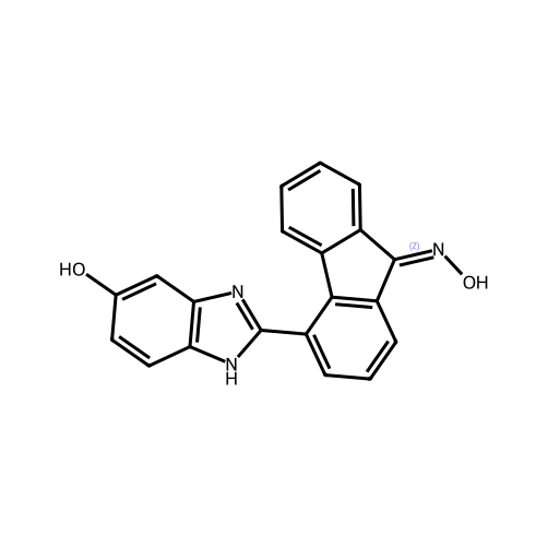 O/N=C1/c2ccccc2-c2c1cccc2-c1nc2cc(O)ccc2[nH]1